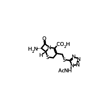 CC(=O)Nn1nnnc1SCC1=C(C(=O)O)N2C(=O)[C@@H](N)[C@H]2SC1